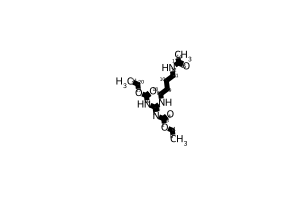 CCOC(=O)/N=C(\NCCCCNC(C)=O)NC(=O)OCC